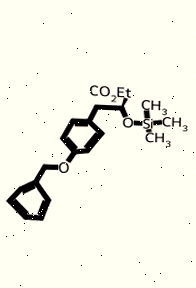 CCOC(=O)[C@H](Cc1ccc(OCc2ccccc2)cc1)O[Si](C)(C)C